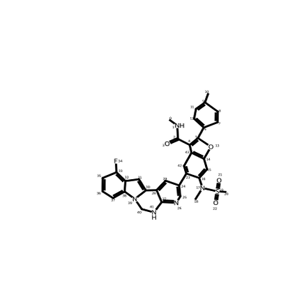 CNC(=O)c1c(-c2ccc(C)cc2)oc2cc(N(C)S(C)(=O)=O)c(-c3cnc4c(c3)-c3cc5c(F)cccc5n3CN4)cc12